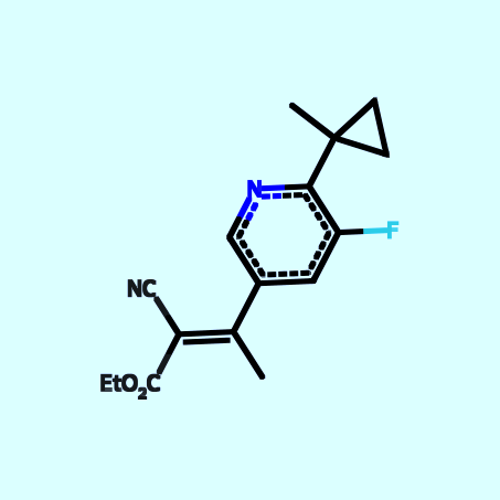 CCOC(=O)/C(C#N)=C(\C)c1cnc(C2(C)CC2)c(F)c1